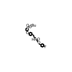 CC(C)(C)OC(=O)N1CC[C@H](Oc2ccc(CCCNC(=O)COCc3ccc(F)cc3)cc2)C1